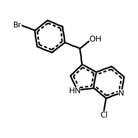 OC(c1ccc(Br)cc1)c1c[nH]c2c(Cl)nccc12